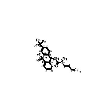 CCCCN(S)C(=O)NC(c1ccc(C(F)(F)F)cc1)c1ncccc1C(F)(F)F